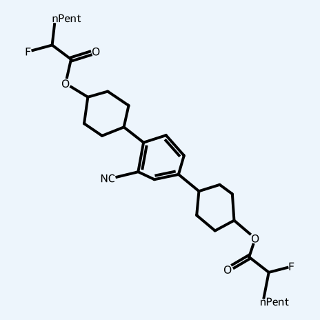 CCCCCC(F)C(=O)OC1CCC(c2ccc(C3CCC(OC(=O)C(F)CCCCC)CC3)c(C#N)c2)CC1